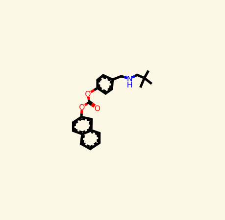 CC(C)(C)CNCc1ccc(OC(=O)Oc2ccc3ccccc3c2)cc1